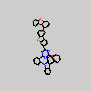 c1ccc(-c2nc(-c3ccc4c(c3)oc3ccc(-c5cccc6oc7ccccc7c56)cc34)nc(-c3ccccc3-n3c4ccccc4c4ccccc43)n2)cc1